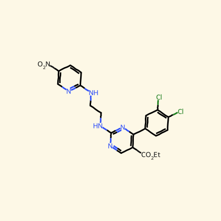 CCOC(=O)c1cnc(NCCNc2ccc([N+](=O)[O-])cn2)nc1-c1ccc(Cl)c(Cl)c1